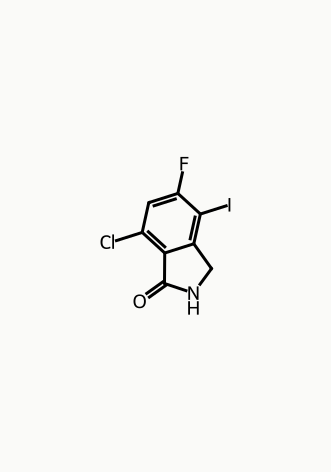 O=C1NCc2c(I)c(F)cc(Cl)c21